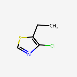 C[CH]c1scnc1Cl